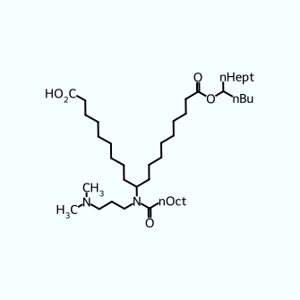 CCCCCCCCC(=O)N(CCCN(C)C)C(CCCCCCCCC(=O)O)CCCCCCCCC(=O)OC(CCCC)CCCCCCC